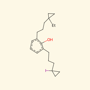 CCC1(CCCc2cccc(CCCC3(I)CC3)c2O)CC1